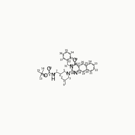 CC(C)CN(CCCNC(=O)OC(C)(C)C)c1nc2cc3ccccc3cc2c(=O)n1Cc1ccccc1